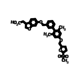 Cc1cc(OCC2CCC(S(C)(=O)=O)O2)cc(C)c1-c1cccc(COc2ccc3c(c2)OCC3CC(=O)O)c1